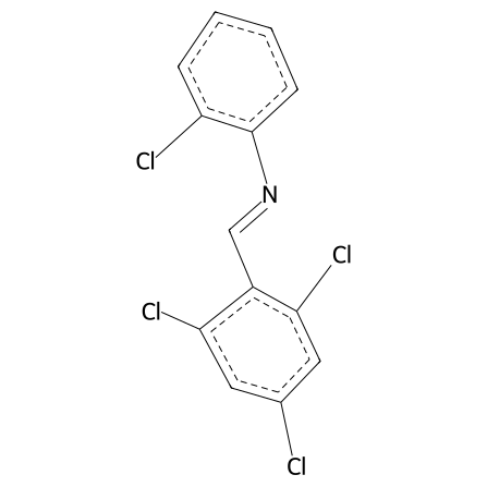 Clc1cc(Cl)c(/C=N/c2ccccc2Cl)c(Cl)c1